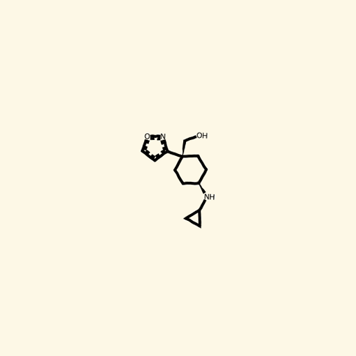 OC[C@]1(c2ccon2)CC[C@H](NC2CC2)CC1